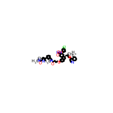 C[C@@H](COc1ccnc2c1[C@H](C)CCC2)C[C@H]1Cc2ccc(OCCCC(=O)N(C)Cc3cccc(-c4ccc(C(=O)N(C)C)nc4)c3)cc2C12CCC(Nc1cccc(Cl)c1)(C(=O)O)CC2